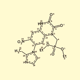 CCOP(=O)(Cn1c(=O)c(=O)[nH]c2cc([N+](=O)[O-])c(-n3ccnc3C)cc21)OCC